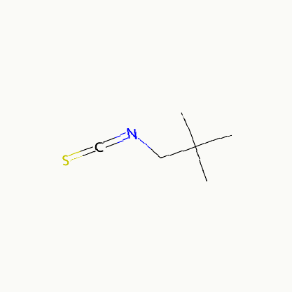 CC(C)(C)CN=C=S